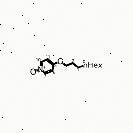 CCCCCCCCCOc1cc[n+]([O-])cc1